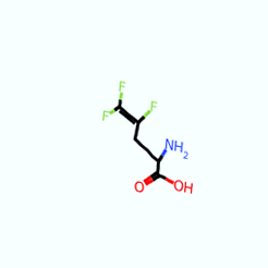 NC(CC(F)=C(F)F)C(=O)O